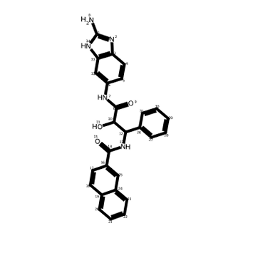 Nc1nc2ccc(NC(=O)C(O)C(NC(=O)c3ccc4ccccc4c3)c3ccccc3)cc2[nH]1